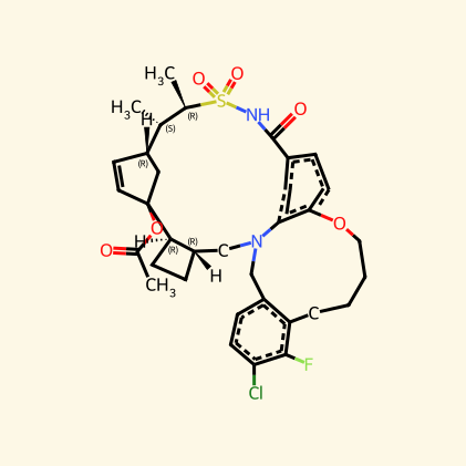 CC(=O)OC12C=C[C@@H](C1)[C@H](C)[C@@H](C)S(=O)(=O)NC(=O)c1ccc3c(c1)N(Cc1ccc(Cl)c(F)c1CCCCO3)C[C@@H]1CC[C@H]12